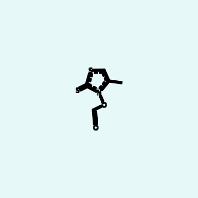 Cc1csc(=S)n1OC=O